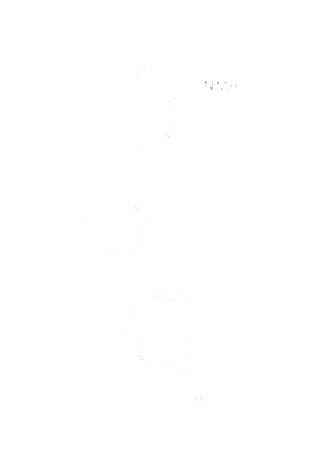 CNC(=O)OC[C@H]1CC[C@@H](c2ccc(Br)cc2)C1